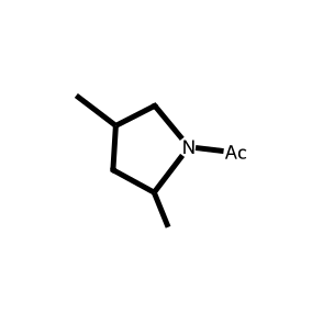 CC(=O)N1CC(C)CC1C